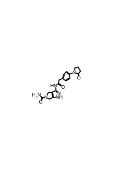 NC(=O)N1Cc2[nH]nc(NC(=O)Cc3ccc(N4CCCC4=O)cc3)c2C1